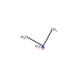 CCCCCCCCCCCCCCCCC(CC)(CCCCCCCCCCCCCCCC)N=O